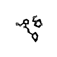 CCOc1ccccc1BC=Cc1ccccc1.OCn1ccnc1